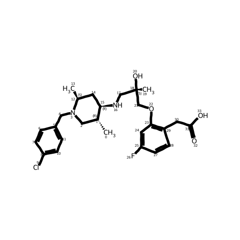 C[C@@H]1CN(Cc2ccc(Cl)cc2)[C@@H](C)C[C@H]1NC[C@](C)(O)COc1cc(F)ccc1CC(=O)O